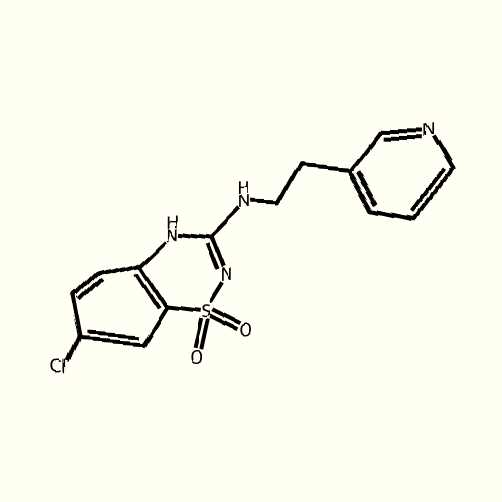 O=S1(=O)N=C(NCCc2cccnc2)Nc2ccc(Cl)cc21